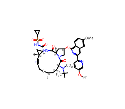 CC[C@@H]1C[C@H](C)CC/C=C\[C@@H]2C[C@@]2(C(=O)NS(=O)(=O)C2CC2)NC(=O)[C@@H]2C[C@@H](Oc3nc(-c4ccc(OC(C)C)cn4)cc4cc(OC)ccc34)CN2C(=O)[C@H]1N(C(=O)O)C(C)(C)C(F)(F)F